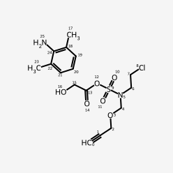 C#CCOCN(CCCl)S(=O)(=O)OC(=O)CO.Cc1cccc(C)c1N